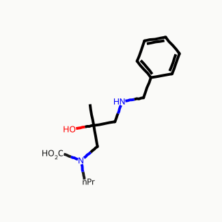 CCCN(CC(C)(O)CNCc1ccccc1)C(=O)O